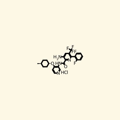 C[C@H]1CC[C@H](Oc2ccncc2NC(=O)c2nc(-c3c(F)cccc3F)c(C(F)(F)F)cc2N)CC1.Cl